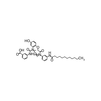 CCCCCCCCCCCC(=O)Nc1cccc(NC(=O)COc2ccc(O)cc2N(C)C(=O)Nc2cccc(C(=O)O)c2)c1